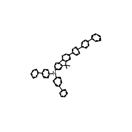 CC1(C)c2cc(-c3ccc(-c4ccc(-c5ccccc5)cc4)cc3)ccc2-c2ccc(N(c3ccc(-c4ccccc4)cc3)c3ccc(-c4ccccc4)cc3)cc21